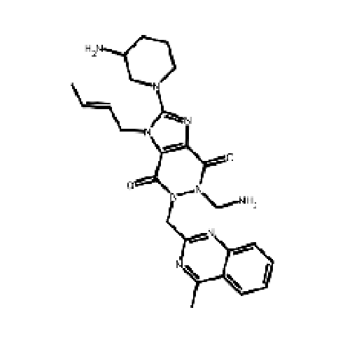 C/C=C/Cn1c(N2CCCC(N)C2)nc2c(=O)n(CN)n(Cc3nc(C)c4ccccc4n3)c(=O)c21